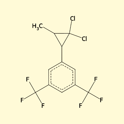 CC1C(c2cc(C(F)(F)F)cc(C(F)(F)F)c2)C1(Cl)Cl